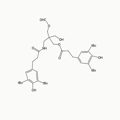 CC(C)(C)c1cc(CCC(=O)NCC(CO)(COC=O)COC(=O)CCc2cc(C(C)(C)C)c(O)c(C(C)(C)C)c2)cc(C(C)(C)C)c1O